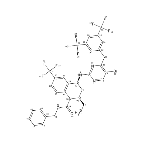 CC[C@@H]1C[C@H](Nc2ncc(Br)c(Cc3cc(C(F)(F)F)cc(C(F)(F)F)c3)n2)c2cc(C(F)(F)F)ccc2N1C(=O)OCc1ccccc1